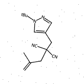 C=C(C)CC(C#N)(C#N)Cc1cnn(C(C)(C)C)c1